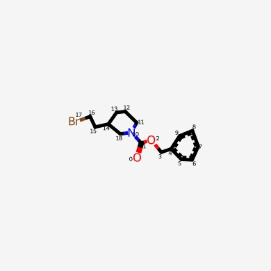 O=C(OCc1ccccc1)N1CCCC(CCBr)C1